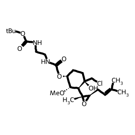 CO[C@@H]1[C@H](OC(=O)NCCNC(=O)OC(C)(C)C)CC[C@](O)(CCl)[C@H]1[C@@]1(C)O[C@@H]1CC=C(C)C